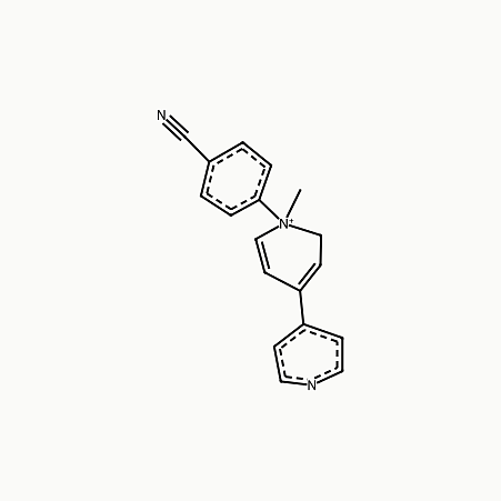 C[N+]1(c2ccc(C#N)cc2)C=CC(c2ccncc2)=CC1